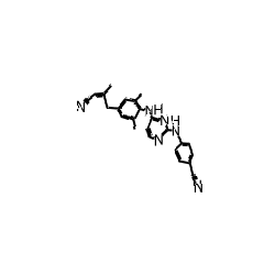 C/C(=C/C#N)Cc1cc(C)c(Nc2ccnc(Nc3ccc(C#N)cc3)n2)c(C)c1